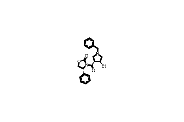 CC[C@@H]1CN(Cc2ccccc2)C[C@@H]1C(=O)N1C(=O)OC[C@H]1c1ccccc1